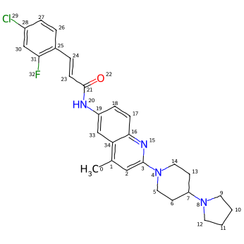 Cc1cc(N2CCC(N3CCCC3)CC2)nc2ccc(NC(=O)C=Cc3ccc(Cl)cc3F)cc12